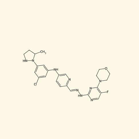 CC1CCNN1c1cc(Cl)cc(Nc2ccc(/C=N/Nc3ncc(F)c(N4CCOCC4)n3)nc2)c1